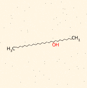 CCCCCCCCCCCCCCCCCCC(O)CCCCCCCCC